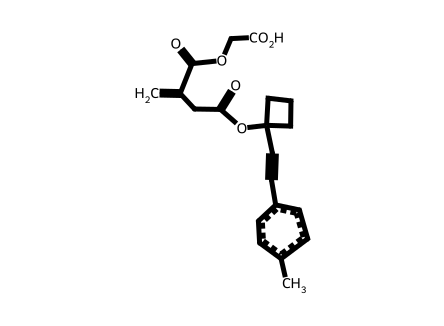 C=C(CC(=O)OC1(C#Cc2ccc(C)cc2)CCC1)C(=O)OCC(=O)O